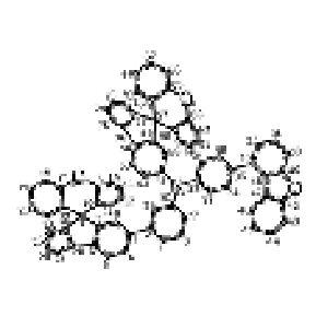 c1cc(-c2ccc3c(c2)C2(c4ccccc4Oc4ccccc42)c2ccccc2-3)cc(N(c2ccc(-c3cccc4oc5ccccc5c34)cc2)c2ccc3c(c2)C2(c4ccccc4Oc4ccccc42)c2ccccc2-3)c1